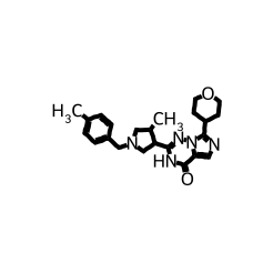 Cc1ccc(CN2CC(C)C(c3nn4c(C5CCOCC5)ncc4c(=O)[nH]3)C2)cc1